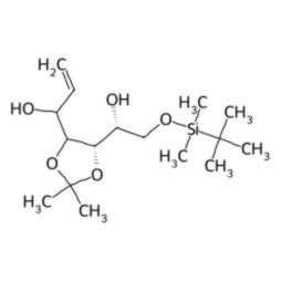 C=CC(O)C1OC(C)(C)O[C@H]1[C@H](O)CO[Si](C)(C)C(C)(C)C